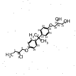 CC[C@H](Cl)COc1ccc(C(C)(C)c2ccc(OC[C@H](O)CO)cc2)cc1